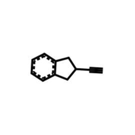 C#CC1Cc2ccccc2C1